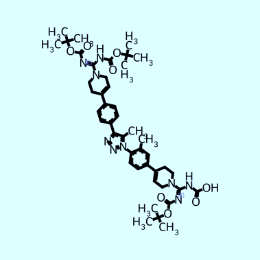 Cc1cc(C2=CCN(/C(=N\C(=O)OC(C)(C)C)NC(=O)O)CC2)ccc1-n1nnc(-c2ccc(C3=CCN(/C(=N/C(=O)OC(C)(C)C)NC(=O)OC(C)(C)C)CC3)cc2)c1C